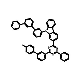 Cc1ccc(-c2cccc(-c3nc(-c4ccccc4)nc(-c4ccc5c6ccccc6n(-c6cccc(-c7cccc(-c8ccccc8)c7)c6)c5c4)n3)c2)cc1